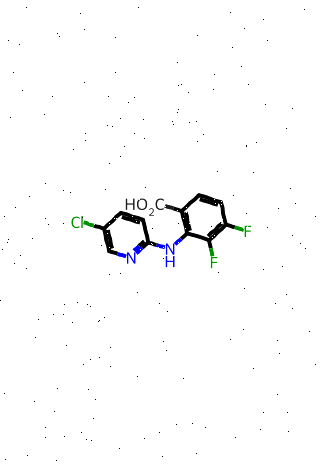 O=C(O)c1ccc(F)c(F)c1Nc1ccc(Cl)cn1